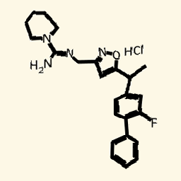 CC(c1ccc(-c2ccccc2)c(F)c1)c1cc(C/N=C(\N)N2CCCCC2)no1.Cl